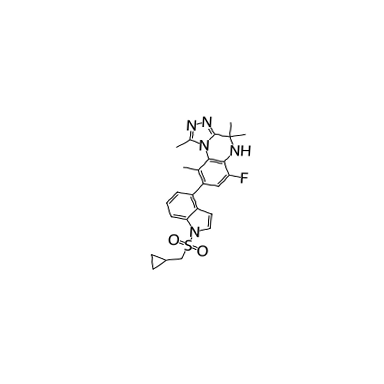 Cc1c(-c2cccc3c2ccn3S(=O)(=O)CC2CC2)cc(F)c2c1-n1c(C)nnc1C(C)(C)N2